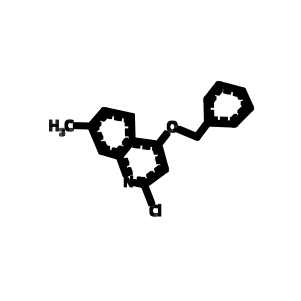 Cc1ccc2c(OCc3ccccc3)cc(Cl)nc2c1